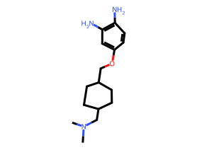 CN(C)CC1CCC(COc2ccc(N)c(N)c2)CC1